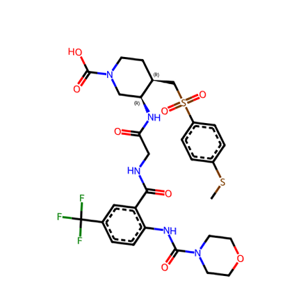 CSc1ccc(S(=O)(=O)C[C@@H]2CCN(C(=O)O)C[C@@H]2NC(=O)CNC(=O)c2cc(C(F)(F)F)ccc2NC(=O)N2CCOCC2)cc1